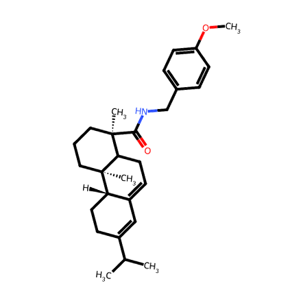 COc1ccc(CNC(=O)[C@]2(C)CCC[C@@]3(C)C2CC=C2C=C(C(C)C)CC[C@@H]23)cc1